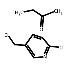 CCC(C)=O.ClCc1ccc(Cl)nc1